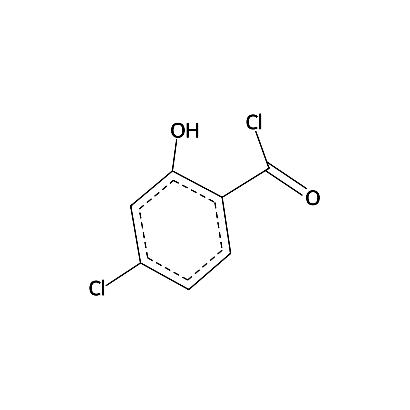 O=C(Cl)c1ccc(Cl)cc1O